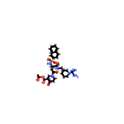 CC(=O)OC(=O)[C@H]1CN(C(=O)C[C@@H](NS(=O)(=O)c2ccc3ccccc3c2)C(=O)NC[C@@H]2CCCN(C(=N)N)C2)CCC1=O